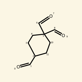 O=CC1CCC(C=O)(C=O)CC1